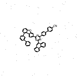 N#Cc1ccc(-c2ccc(-c3nc(-c4ccc5c(c4)oc4cccc(-c6cccc(-c7ccccc7)c6)c45)nc(-c4cc5ccccc5c5ccccc45)n3)cc2)cc1